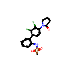 CS(=O)(=O)Nc1ccccc1-c1ccc(N2CCCC2=O)c(F)c1F